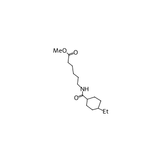 CCC1CCC(C(=O)NCCCCCC(=O)OC)CC1